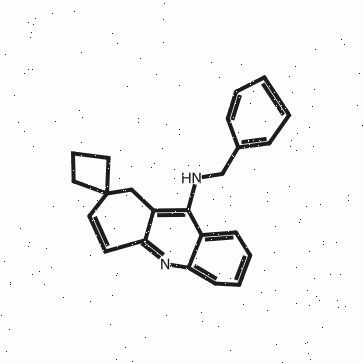 C1=CC2(CCC2)Cc2c1nc1ccccc1c2NCc1ccccc1